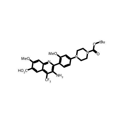 COc1cc2nc(-c3ccc(N4CCN(C(=O)OC(C)(C)C)CC4)cc3OC)c(N)c(C(F)(F)F)c2cc1C(=O)O